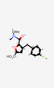 CON(C)C(=O)c1oc(C(=O)O)cc1Cc1ccc(F)cc1